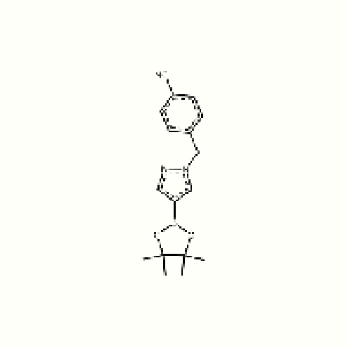 CC1(C)OB(c2cnn(Cc3ccc(C#N)cc3)c2)OC1(C)C